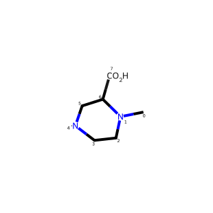 CN1CC[N]CC1C(=O)O